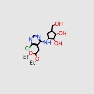 CCOC(Cc1c(Cl)ncnc1N[C@@H]1CC(CO)[C@@H](O)[C@H]1O)OCC